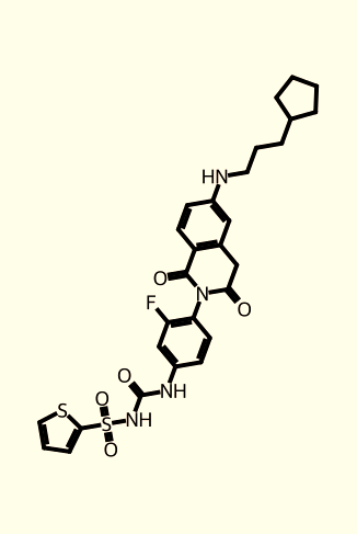 O=C(Nc1ccc(N2C(=O)Cc3cc(NCCCC4CCCC4)ccc3C2=O)c(F)c1)NS(=O)(=O)c1cccs1